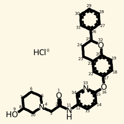 Cl.O=C(CN1CCCC(O)C1)Nc1ccc(Oc2ccc3c(c2)CCC(c2ccccc2)O3)nc1